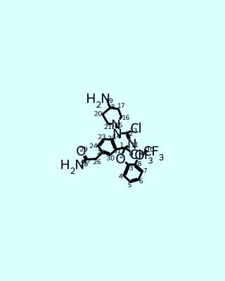 CC1(Oc2ccccc2OC(F)(F)F)N=C(Cl)N(N2CCC(N)CC2)c2ccc(CC(N)=O)cc21